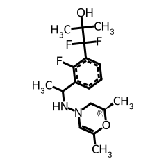 CC1=CN(NC(C)c2cccc(C(F)(F)C(C)(C)O)c2F)C[C@@H](C)O1